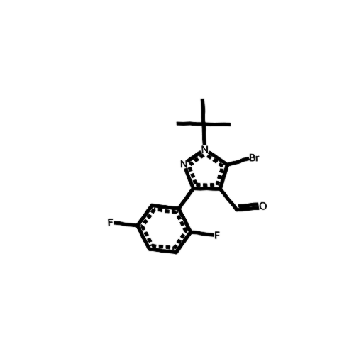 CC(C)(C)n1nc(-c2cc(F)ccc2F)c(C=O)c1Br